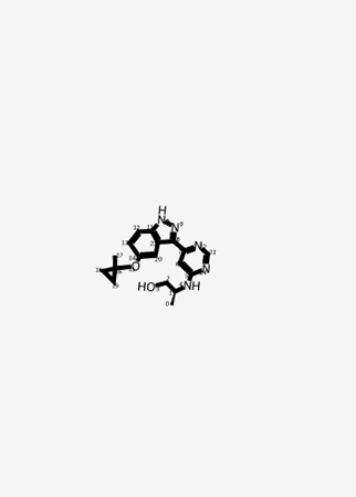 C[C@@H](CO)Nc1cc(-c2n[nH]c3ccc(OC4(C)CC4)cc23)ncn1